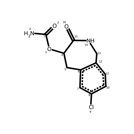 NC(=O)OC1Cc2cc(Cl)ccc2CNC1=O